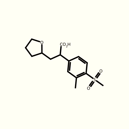 Cc1cc(C(CC2CCCO2)C(=O)O)ccc1S(C)(=O)=O